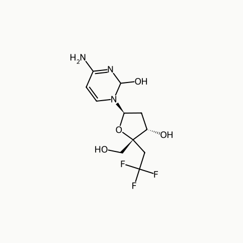 NC1=NC(O)N([C@H]2C[C@H](O)[C@](CO)(CC(F)(F)F)O2)C=C1